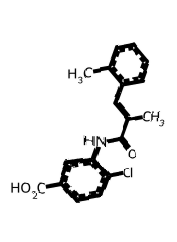 C/C(=C\c1ccccc1C)C(=O)Nc1cc(C(=O)O)ccc1Cl